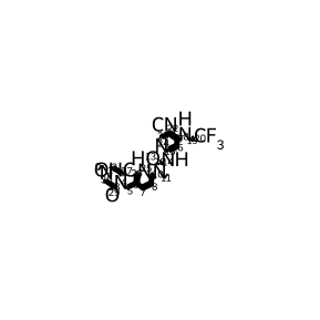 CN1CCN(Cc2ccc(N(C)C(O)Nc3cc(NCC(F)(F)F)c(C#N)cn3)nc2C=O)C(=O)C1